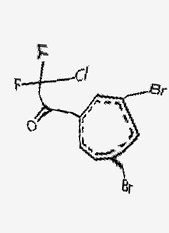 O=C(c1cc(Br)cc(Br)c1)C(F)(F)Cl